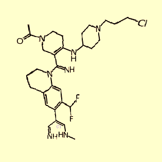 CN/C=C(\C=N)c1cc2c(cc1C(F)F)N(C(=N)C1=C(NC3CCN(CCCCl)CC3)CCN(C(C)=O)C1)CCC2